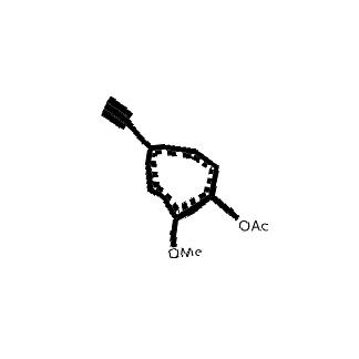 C#Cc1ccc(OC(C)=O)c(OC)c1